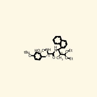 CCOC(OCC)[C@@H](C)C(NC(=O)[C@H](Cc1ccc(OC(C)(C)C)cc1)NC(=O)O)c1cccc2ccccc12